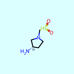 N[C@H]1CCN(C[SH](=O)=O)C1